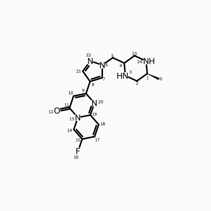 C[C@H]1CNC(Cn2cc(-c3cc(=O)n4cc(F)ccc4n3)cn2)CN1